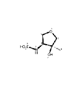 C[C@@]1(O)COC[C@@H]1NC(=O)O